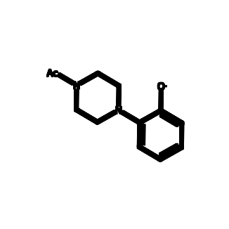 CC(=O)N1CCN(c2ccccc2[O])CC1